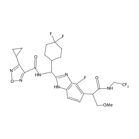 COCC(C(=O)NCC(F)(F)F)c1ccc2[nH]c(C(NC(=O)c3nonc3C3CC3)C3CCC(F)(F)CC3)nc2c1F